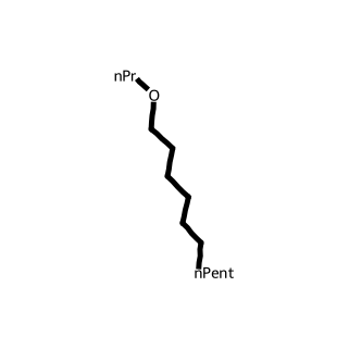 C[CH]COCCCCCCCCCCC